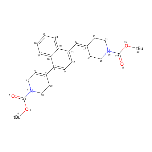 CC(C)(C)OC(=O)N1CC=C(c2ccc(C=C3CCN(C(=O)OC(C)(C)C)CC3)c3ccccc23)CC1